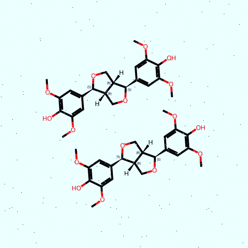 COc1cc([C@H]2OC[C@H]3[C@@H]2CO[C@@H]3c2cc(OC)c(O)c(OC)c2)cc(OC)c1O.COc1cc([C@H]2OC[C@H]3[C@@H]2CO[C@@H]3c2cc(OC)c(O)c(OC)c2)cc(OC)c1O